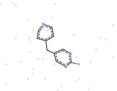 Ic1ncc(Cc2ccncc2)cn1